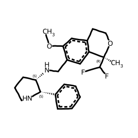 COc1cc2c(cc1CN[C@H]1CCCN[C@H]1c1ccccc1)[C@](C)(C(F)F)OCC2